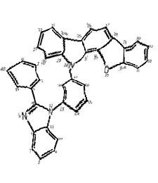 c1ccc(-c2nc3ccccc3n2-c2cccc(-n3c4ccccc4c4ccc5c6ccccc6oc5c43)c2)cc1